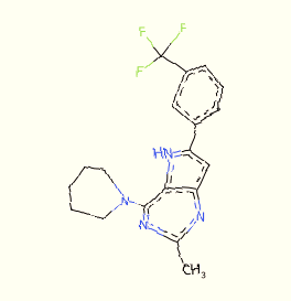 Cc1nc(N2CCCCC2)c2[nH]c(-c3cccc(C(F)(F)F)c3)cc2n1